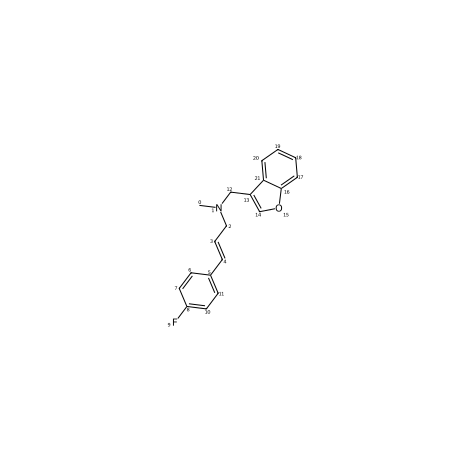 CN(C/C=C/c1ccc(F)cc1)Cc1coc2ccccc12